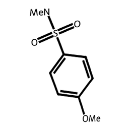 [CH2]NS(=O)(=O)c1ccc(OC)cc1